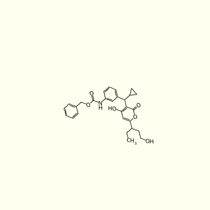 CCC(CCO)c1cc(O)c(C(c2cccc(NC(=O)OCc3ccccc3)c2)C2CC2)c(=O)o1